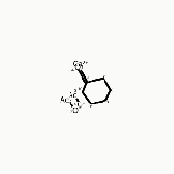 CC(=O)[O-].CC(=O)[O-].O=C1CCCCC1.[Ca+2]